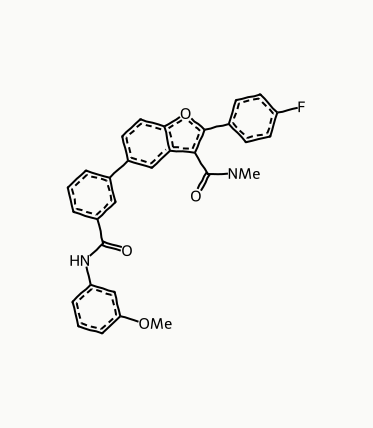 CNC(=O)c1c(-c2ccc(F)cc2)oc2ccc(-c3cccc(C(=O)Nc4cccc(OC)c4)c3)cc12